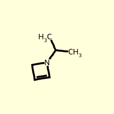 CC(C)N1C=CC1